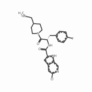 CNCC1CCN(C(=O)[C@H](Cc2ccc(F)cc2)NC(=O)c2cc3cc(Cl)ncc3[nH]2)CC1